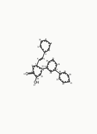 O=c1cc(C=Cc2ccccc2)n(-c2cccc(-c3ccccc3)c2)cc1O